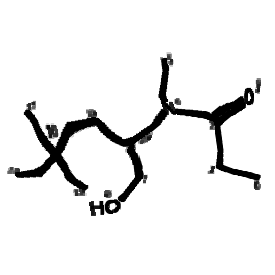 CCC(=O)N(C)[C@@H](CO)CC(C)(C)C